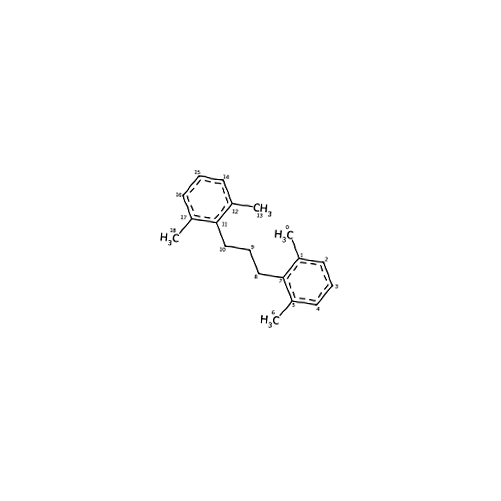 Cc1cccc(C)c1CCCc1c(C)cccc1C